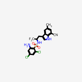 Cc1cc(C#N)c2[nH]cc(CC(NS(=O)(=O)c3c(N)cc(Cl)cc3Cl)C(F)(F)F)c2c1